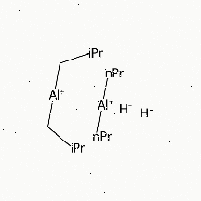 CC(C)[CH2][Al+][CH2]C(C)C.CC[CH2][Al+][CH2]CC.[H-].[H-]